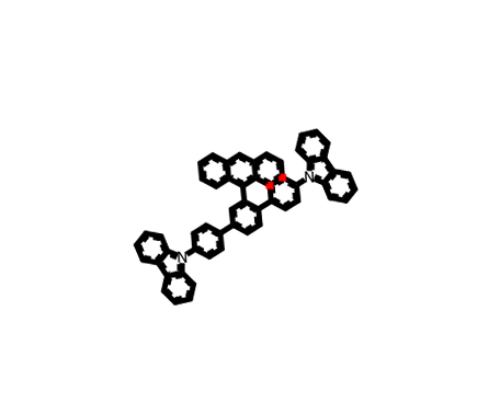 c1ccc2c(-c3cc(-c4ccc(-n5c6ccccc6c6ccccc65)cc4)ccc3-c3ccc(-n4c5ccccc5c5ccccc54)cc3)c3ccccc3cc2c1